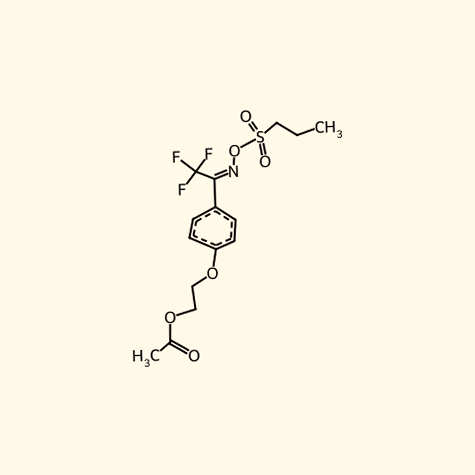 CCCS(=O)(=O)O/N=C(/c1ccc(OCCOC(C)=O)cc1)C(F)(F)F